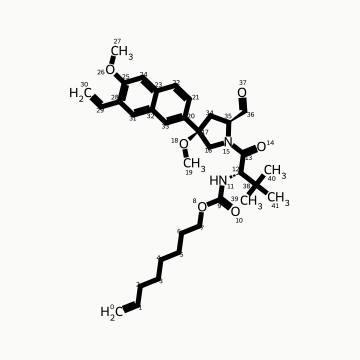 C=CCCCCCCOC(=O)N[C@H](C(=O)N1C[C@](OC)(c2ccc3cc(OC)c(C=C)cc3c2)C[C@H]1C=O)C(C)(C)C